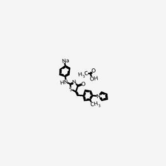 CC(=O)O.Cc1cc(C=C2SC(Nc3cc[c]([Na])cc3)=NC2=O)ccc1-n1cccc1